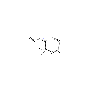 C=C/C=C1/C=CC(C)=CC1(C)I